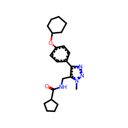 Cn1nnc(-c2ccc(OC3CCCCC3)cc2)c1CNC(=O)C1CCCC1